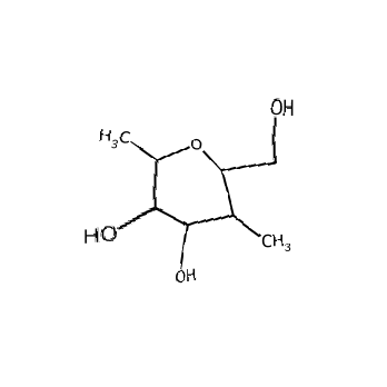 CC1OC(CO)C(C)C(O)C1O